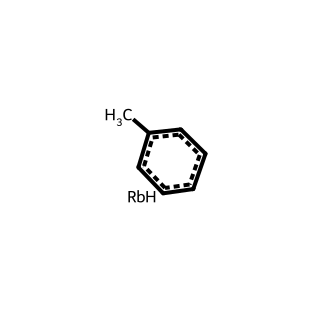 Cc1ccccc1.[RbH]